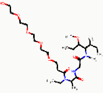 CCC(C)C(C(CC)OC)N(C)C(=O)CNC(=O)C(C)N(CC)C(=O)CCOCCOCCOCCOCCO